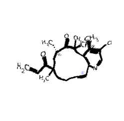 C=CC(=O)C1(C)CC/C=C/c2ncc(Cl)c(C)c2C(C)(C)C(=O)[C@@H](C)C1